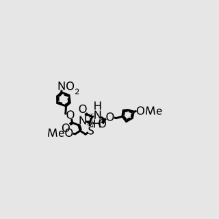 COCC1=C(C(=O)OCc2ccc([N+](=O)[O-])cc2)N2C(=O)[C@H](NC(=O)OCc3ccc(OC)cc3)[C@@H]2SC1